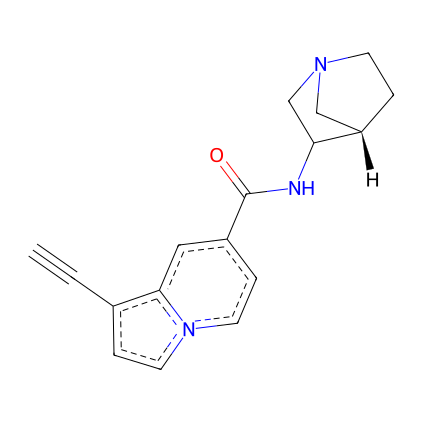 C#Cc1ccn2ccc(C(=O)NC3CN4CC[C@H]3C4)cc12